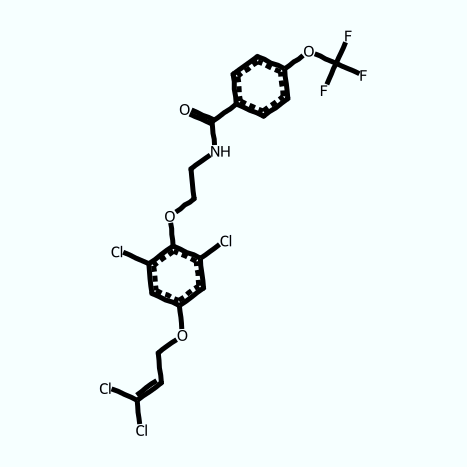 O=C(NCCOc1c(Cl)cc(OCC=C(Cl)Cl)cc1Cl)c1ccc(OC(F)(F)F)cc1